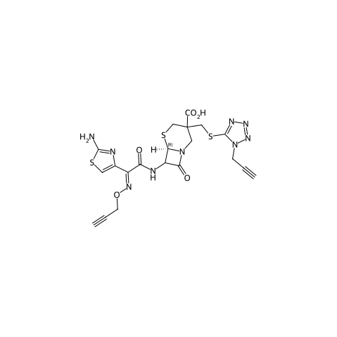 C#CCON=C(C(=O)NC1C(=O)N2CC(CSc3nnnn3CC#C)(C(=O)O)CS[C@H]12)c1csc(N)n1